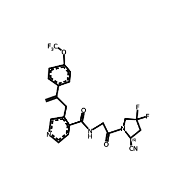 C=C(Cc1cnccc1C(=O)NCC(=O)N1CC(F)(F)C[C@H]1C#N)c1ccc(OC(F)(F)F)cc1